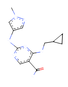 Cn1cc(Nc2ncc(C(N)=O)c(NCC3CC3)n2)cn1